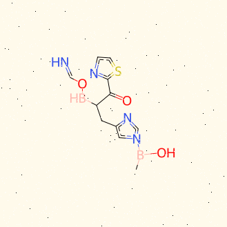 CB(O)n1cnc(CC(BOC=N)C(=O)c2nccs2)c1